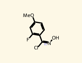 COc1ccc(/C(Cl)=N\O)c(F)c1